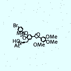 COc1cc(C2COC(c3cc(OC)c(OC)c(OC)c3)C2)cc(CC#CN(O)C(C)=O)c1OC(C)Sc1ccc(Br)cc1